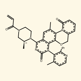 C=CC(=O)N1CCN(c2nc(=O)n(-c3c(C)ccnc3C(C)C)c3c4c(c(C)cc23)-n2c(cccc2=O)CO4)[C@@H](C)C1